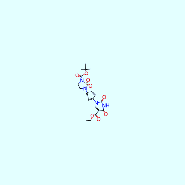 CCOC(=O)c1cn(-c2ccc(N3CCN(C(=O)OC(C)(C)C)S3(=O)=O)cc2)c(=O)[nH]c1=O